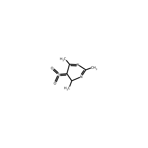 CC1=NC(C)C(=S(=O)=O)C(C)=N1